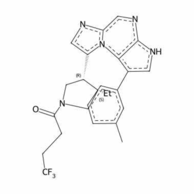 CC[C@@H]1CN(C(=O)CCC(F)(F)F)C[C@@H]1c1cnc2cnc3[nH]cc(-c4cccc(C)c4)c3n12